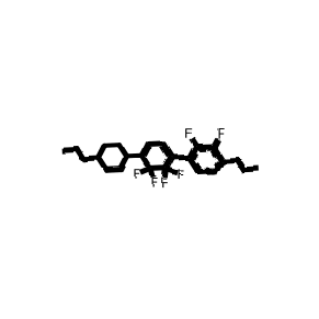 CCCc1ccc(C2=CC=C(C3CCC(CCC)CC3)C(F)(F)C2(F)F)c(F)c1F